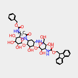 CC(=O)NC1C[C@@H](N)[C@@H](O[C@H]2OC(CO)[C@@H](O)[C@@H](NC(=O)OCC3c4ccccc4-c4ccccc43)C2O)C(O)[C@@H]1O[C@H]1OC(CNC(=O)OCc2ccccc2)[C@@H](O)C(O)[C@@H]1O